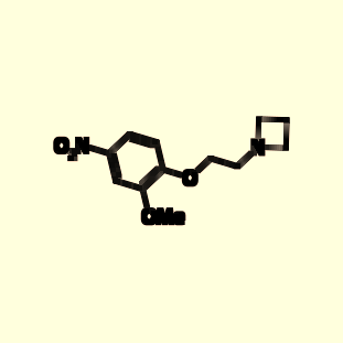 COc1cc([N+](=O)[O-])ccc1OCCN1CCC1